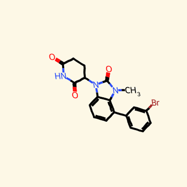 Cn1c(=O)n(C2CCC(=O)NC2=O)c2cccc(-c3cccc(Br)c3)c21